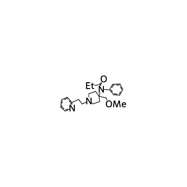 CCC(=O)N(c1ccccc1)C1(COC)CCN(CCc2ccccn2)CC1